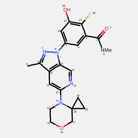 CNC(=O)c1cc(-n2nc(C)c3cc(N4CCOCC45CC5)ncc32)cc(O)c1F